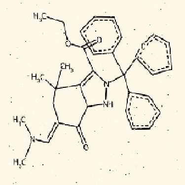 CCOC(=O)C1=C2C(NN1C(c1ccccc1)(c1ccccc1)c1ccccc1)C(=O)C(=CN(C)C)CC2(C)C